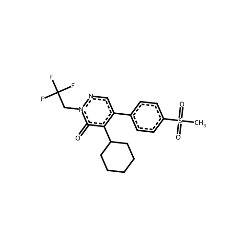 CS(=O)(=O)c1ccc(-c2cnn(CC(F)(F)F)c(=O)c2C2CCCCC2)cc1